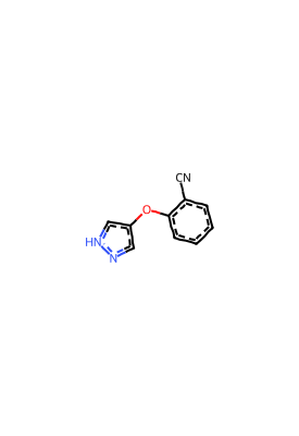 N#Cc1ccccc1Oc1cn[nH]c1